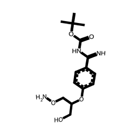 CC(C)(C)OC(=O)NC(=N)c1ccc(OC(CO)CON)cc1